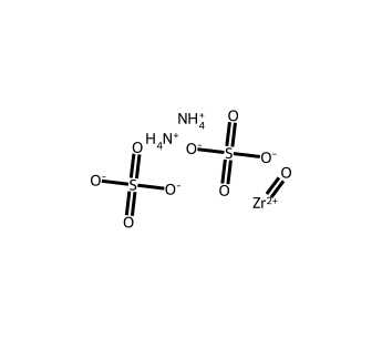 O=S(=O)([O-])[O-].O=S(=O)([O-])[O-].[NH4+].[NH4+].[O]=[Zr+2]